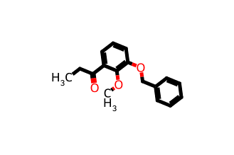 CCC(=O)c1cccc(OCc2ccccc2)c1OC